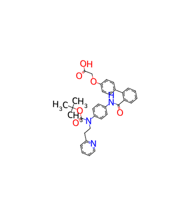 CC(C)(C)OC(=O)N(CCc1ccccn1)c1ccc(NC(=O)c2ccccc2-c2ccc(OCC(=O)O)cc2)cc1